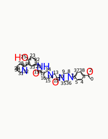 CC(=O)c1ccc(N2CCN(C(=O)CN3CCC(C(=O)Nc4ccc(O)c(-c5ccccn5)c4)C3)CC2)cc1